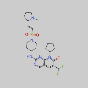 CN1CCCC1/C=C/S(=O)(=O)N1CCC(Nc2ncc3cc(C(F)F)c(=O)n(C4CCCC4)c3n2)CC1